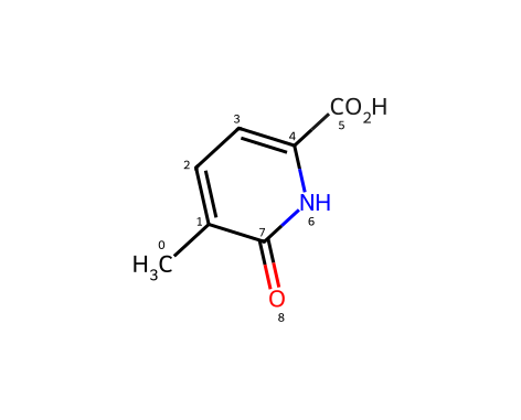 Cc1ccc(C(=O)O)[nH]c1=O